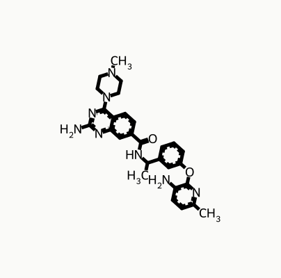 Cc1ccc(N)c(Oc2cccc(C(C)NC(=O)c3ccc4c(N5CCN(C)CC5)nc(N)nc4c3)c2)n1